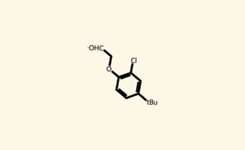 CC(C)(C)c1ccc(OC[C]=O)c(Cl)c1